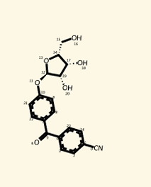 N#Cc1ccc(C(=O)c2ccc(O[C@H]3O[C@H](CO)[C@H](O)[C@@H]3O)cc2)cc1